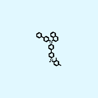 Cc1ccc(N(C)c2ccc(-c3ccc(N(c4ccc(-c5ccccc5)cc4)c4cccc5ccccc45)cc3)cc2)c(C)c1